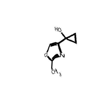 Cc1nc(C2(O)CC2)co1